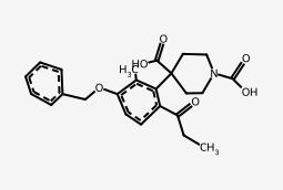 CCC(=O)c1ccc(OCc2ccccc2)c(C)c1C1(C(=O)O)CCN(C(=O)O)CC1